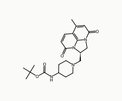 Cc1cc(=O)n2c3c1ccc(=O)n3[C@H](CN1CCC(NC(=O)OC(C)(C)C)CC1)C2